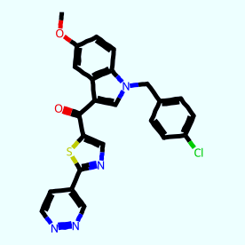 COc1ccc2c(c1)c(C(=O)c1cnc(-c3ccnnc3)s1)cn2Cc1ccc(Cl)cc1